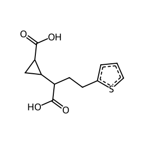 O=C(O)C(CCc1cccs1)C1CC1C(=O)O